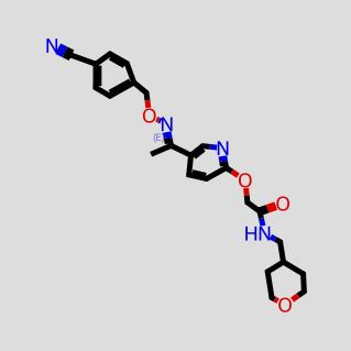 C/C(=N\OCc1ccc(C#N)cc1)c1ccc(OCC(=O)NCC2CCOCC2)nc1